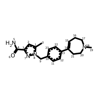 Cc1cc(C(N)=O)nn1Cc1ccc(C2=CCCN(C)CC2)cc1